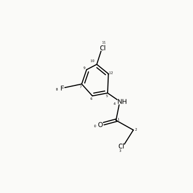 O=C(CCl)Nc1cc(F)cc(Cl)c1